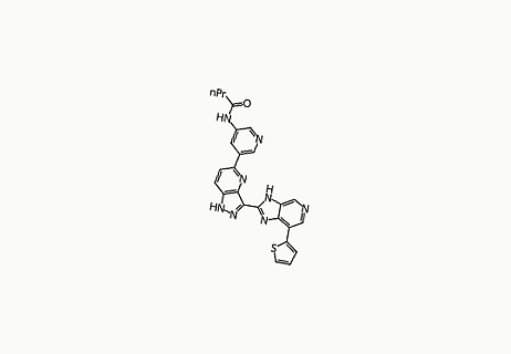 CCCC(=O)Nc1cncc(-c2ccc3[nH]nc(-c4nc5c(-c6cccs6)cncc5[nH]4)c3n2)c1